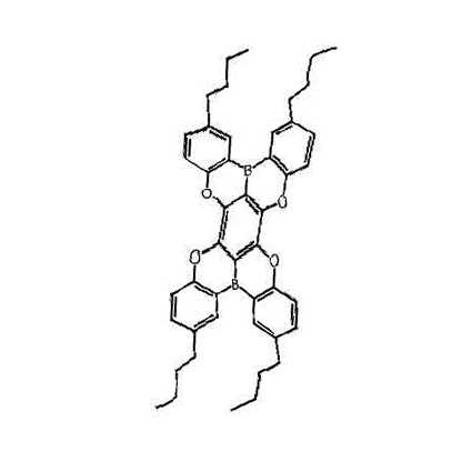 CCCCc1ccc2c(c1)B1c3cc(CCCC)ccc3Oc3c4c5c(c(c31)O2)Oc1ccc(CCCC)cc1B5c1cc(CCCC)ccc1O4